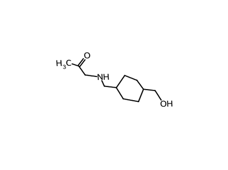 CC(=O)CNCC1CCC(CO)CC1